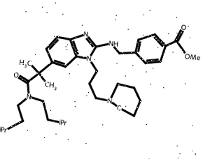 COC(=O)c1ccc(CNc2nc3ccc(C(C)(C)C(=O)N(CCC(C)C)CCC(C)C)cc3n2CCCN2CCCCC2)cc1